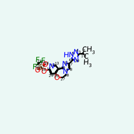 CC(C)c1n[nH]c(-c2cn3c(n2)-c2cnc(OS(=O)(=O)C(F)(F)F)cc2OCC3)n1